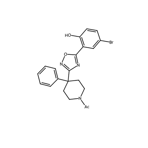 CC(=O)N1CCC(c2ccccc2)(c2noc(-c3cc(Br)ccc3O)n2)CC1